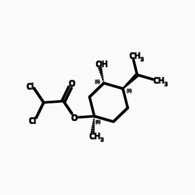 CC(C)[C@H]1CC[C@@](C)(OC(=O)C(Cl)Cl)C[C@@H]1O